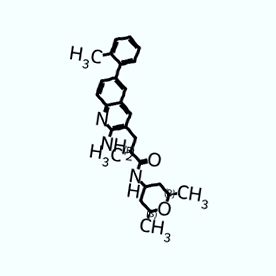 Cc1ccccc1-c1ccc2nc(N)c(C[C@@H](C)C(=O)NC3C[C@@H](C)O[C@@H](C)C3)cc2c1